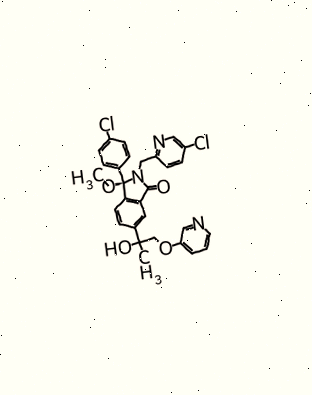 CO[C@]1(c2ccc(Cl)cc2)c2ccc(C(C)(O)COc3cccnc3)cc2C(=O)N1Cc1ccc(Cl)cn1